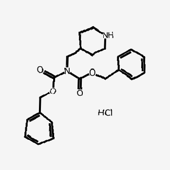 Cl.O=C(OCc1ccccc1)N(CC1CCNCC1)C(=O)OCc1ccccc1